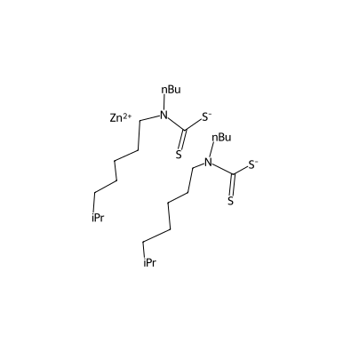 CCCCN(CCCCCC(C)C)C(=S)[S-].CCCCN(CCCCCC(C)C)C(=S)[S-].[Zn+2]